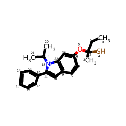 CCC(C)(S)Oc1ccc2cc(-c3ccccc3)n(C(C)C)c2c1